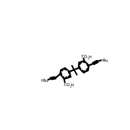 CCCCC#Cc1ccc(C(C)(C)c2ccc(C#CCCCC)c(C(=O)O)c2)cc1C(=O)O